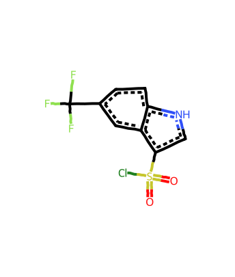 O=S(=O)(Cl)c1c[nH]c2ccc(C(F)(F)F)cc12